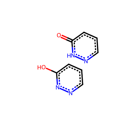 O=c1cccn[nH]1.Oc1cccnn1